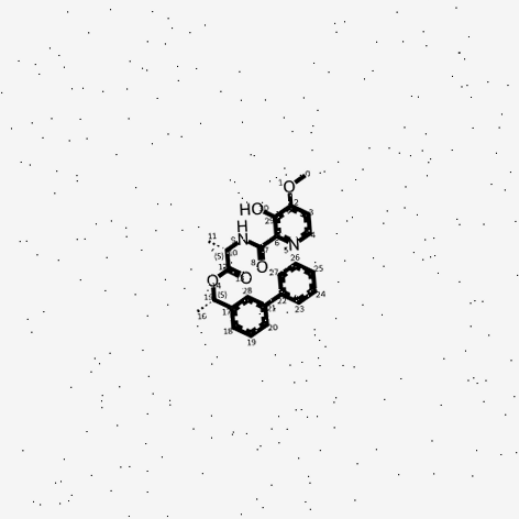 COc1ccnc(C(=O)N[C@@H](C)C(=O)O[C@@H](C)c2cccc(-c3ccccc3)c2)c1O